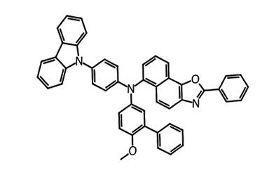 COc1ccc(N(c2ccc(-n3c4ccccc4c4ccccc43)cc2)c2cccc3c2ccc2nc(-c4ccccc4)oc23)cc1-c1ccccc1